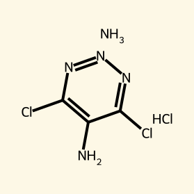 Cl.N.Nc1c(Cl)nnnc1Cl